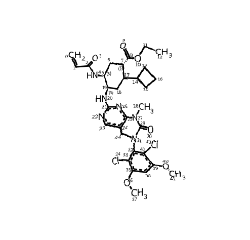 C=CC(=O)N[C@H]1C[C@H](C(=O)OCC)C(C2CCC2)C[C@H]1Nc1ncc2c(n1)N(C)C(=O)N(c1c(Cl)c(OC)cc(OC)c1Cl)C2